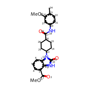 COC(=O)c1cccc2c1[nH]c(=O)n2C1CCC(C(=O)Nc2ccc(C)c(OC)c2)CC1